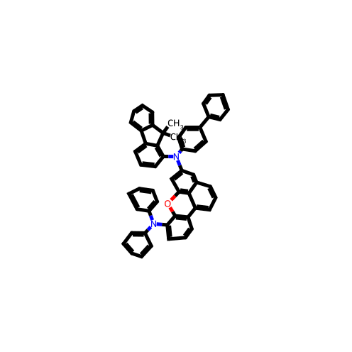 CC1(C)c2ccccc2-c2cccc(N(c3ccc(-c4ccccc4)cc3)c3cc4c5c(cccc5c3)-c3cccc(N(c5ccccc5)c5ccccc5)c3O4)c21